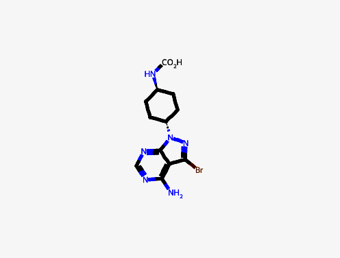 Nc1ncnc2c1c(Br)nn2[C@H]1CC[C@H](NC(=O)O)CC1